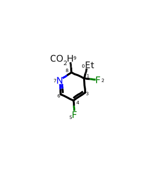 CCC1(F)C=C(F)C=NC1C(=O)O